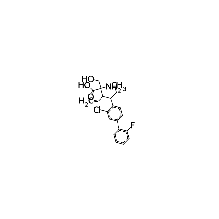 C=CC(C(CC)c1ccc(-c2ccccc2F)cc1Cl)C(N)(CO)C(=O)O